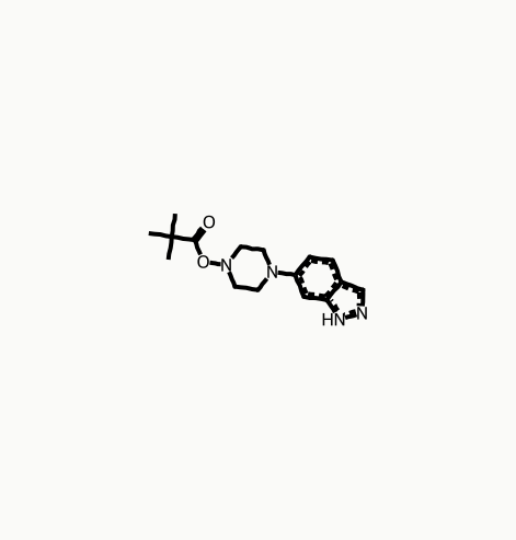 CC(C)(C)C(=O)ON1CCN(c2ccc3cn[nH]c3c2)CC1